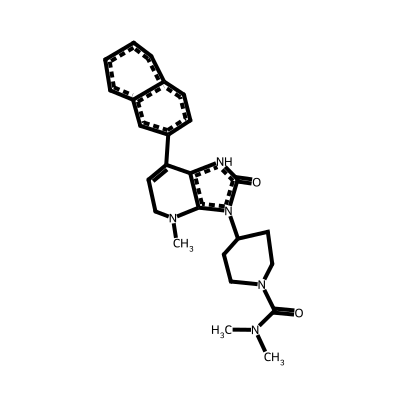 CN(C)C(=O)N1CCC(n2c3c([nH]c2=O)C(c2ccc4ccccc4c2)=CCN3C)CC1